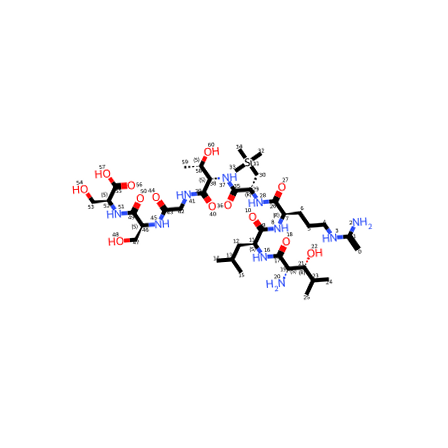 C=C(N)NCCC[C@@H](NC(=O)[C@H](CC(C)C)NC(=O)[C@@H](N)[C@H](O)C(C)C)C(=O)N[C@@H](C[Si](C)(C)C)C(=O)N[C@H](C(=O)NCC(=O)N[C@@H](CO)C(=O)N[C@@H](CO)C(=O)O)[C@H](C)O